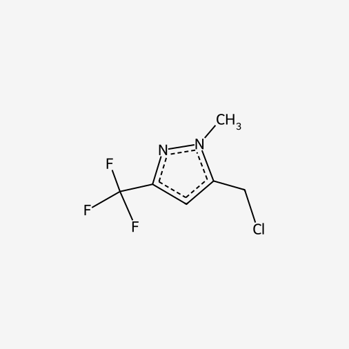 Cn1nc(C(F)(F)F)cc1CCl